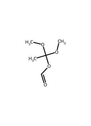 COC(C)(OC)OC=O